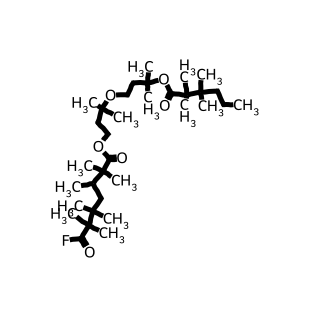 CCCC(C)(C)C(C)(C)C(=O)OC(C)(C)CCOC(C)(C)CCOC(=O)C(C)(C)C(C)CC(C)(C)C(C)(C)C(=O)F